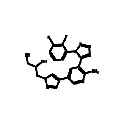 Nc1ncc(-c2cnn(CC(O)CO)c2)cc1-c1nnnn1-c1cccc(F)c1F